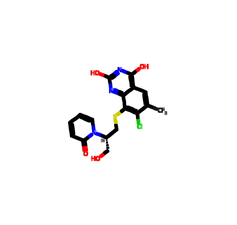 O=c1ccccn1[C@@H](CO)CSc1c(Cl)c(C(F)(F)F)cc2c(O)nc(O)nc12